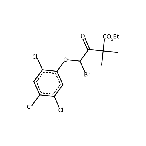 CCOC(=O)C(C)(C)C(=O)C(Br)Oc1cc(Cl)c(Cl)cc1Cl